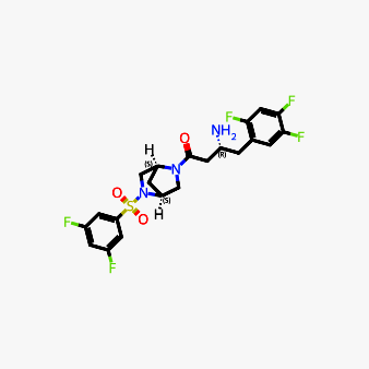 N[C@@H](CC(=O)N1C[C@@H]2C[C@H]1CN2S(=O)(=O)c1cc(F)cc(F)c1)Cc1cc(F)c(F)cc1F